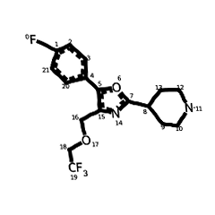 Fc1ccc(-c2oc(C3CC[N]CC3)nc2COCC(F)(F)F)cc1